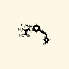 NN/C(Oc1cccc(C#CCC2CC(F)(F)C2)c1)=C(\N)C(=O)O